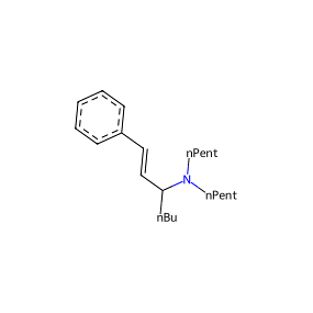 CCCCCN(CCCCC)C(C=Cc1ccccc1)CCCC